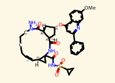 COc1ccc2c(O[C@@H]3C[C@H]4C(=O)NC5(C(=O)NS(=O)(=O)C6CC6)C[C@H]5/C=C\CCCCN(N)C(=O)[C@@H]4C3)cc(-c3ccccc3)nc2c1